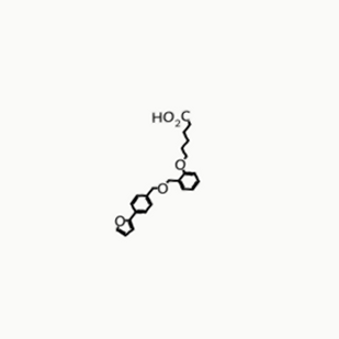 O=C(O)CCCCCOc1ccccc1COCc1ccc(-c2ccco2)cc1